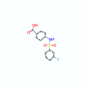 O=C(O)c1ccc(NS(=O)(=O)c2cccc(F)c2)cc1